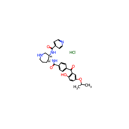 CC(C)Oc1ccc(O)c(C(=O)c2ccc(C(=O)N[C@@H]3CCCNC[C@H]3NC(=O)c3ccncc3)cc2)c1.Cl